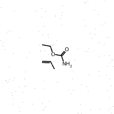 C=CC.CCOC(N)=O